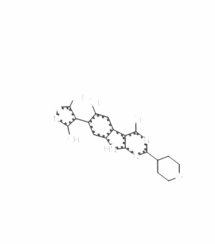 Cc1cc2c(cc1-c1c(C)noc1C)[nH]c1nc(C3CCOCC3)nc(O)c12